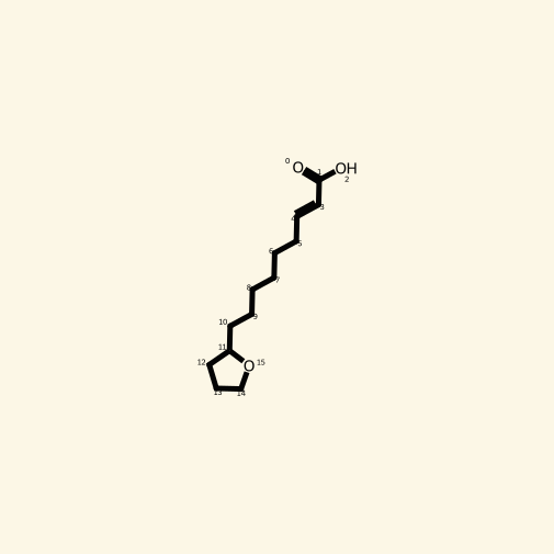 O=C(O)C=CCCCCCCC1CCCO1